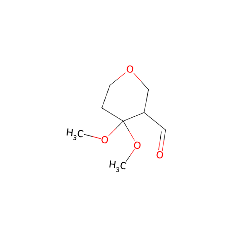 COC1(OC)CCOCC1C=O